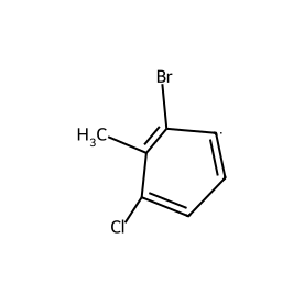 Cc1c(Br)[c]ccc1Cl